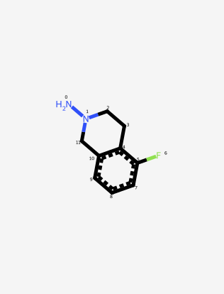 NN1CCc2c(F)cccc2C1